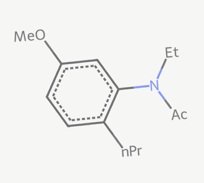 CCCc1ccc(OC)cc1N(CC)C(C)=O